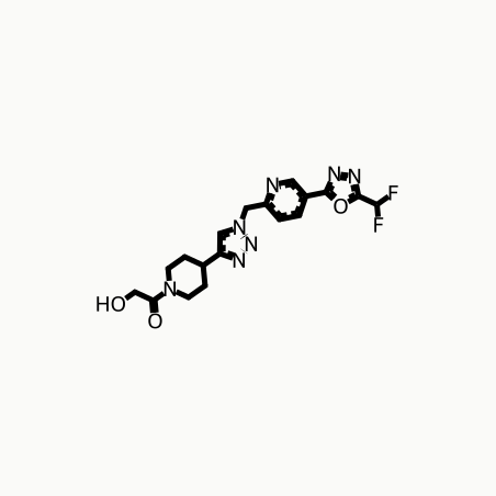 O=C(CO)N1CCC(c2cn(Cc3ccc(-c4nnc(C(F)F)o4)cn3)nn2)CC1